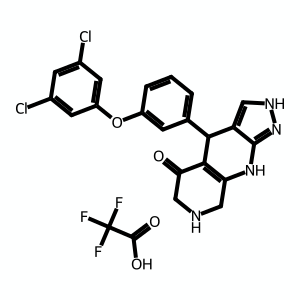 O=C(O)C(F)(F)F.O=C1CNCC2=C1C(c1cccc(Oc3cc(Cl)cc(Cl)c3)c1)c1c[nH]nc1N2